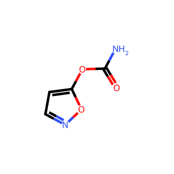 NC(=O)Oc1ccno1